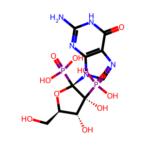 Nc1nc2c(ncn2[C@]2(P(=O)(O)O)O[C@H](CO)[C@@H](O)[C@]2(O)P(=O)(O)O)c(=O)[nH]1